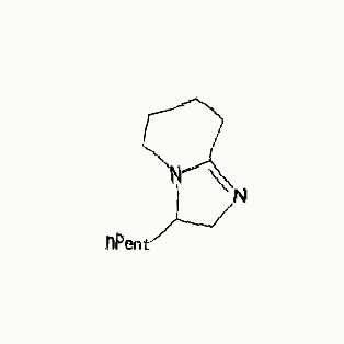 CCCCCC1CN=C2CCCCN21